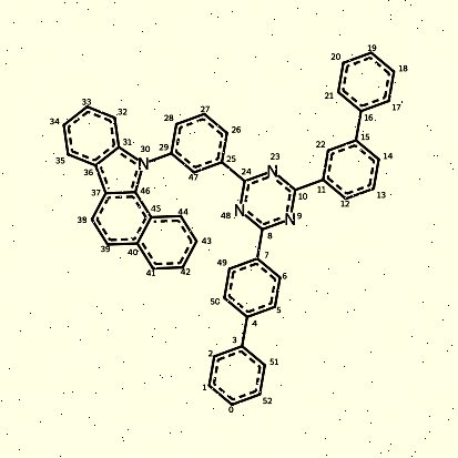 c1ccc(-c2ccc(-c3nc(-c4cccc(-c5ccccc5)c4)nc(-c4cccc(-n5c6ccccc6c6ccc7ccccc7c65)c4)n3)cc2)cc1